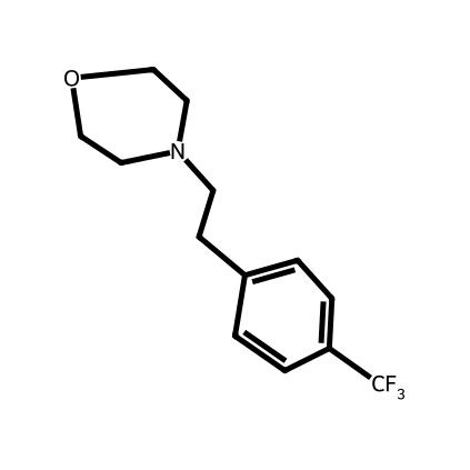 FC(F)(F)c1ccc(CCN2CCOCC2)cc1